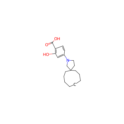 O=C(O)c1ccc(N2CCC3(CCCCCCCC3)C2)cc1O